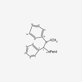 CCCCCC(c1ccccc1)C(C)c1ccccc1